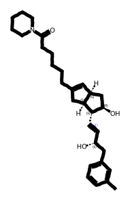 Cc1cccc(C[C@H](O)/C=C/[C@@H]2[C@H]3CC(CCCCCC(=O)N4CCCCC4)=C[C@H]3C[C@H]2O)c1